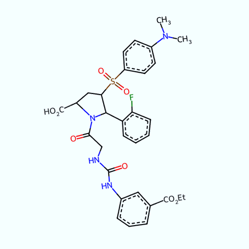 CCOC(=O)c1cccc(NC(=O)NCC(=O)N2C(C(=O)O)CC(S(=O)(=O)c3ccc(N(C)C)cc3)C2c2ccccc2F)c1